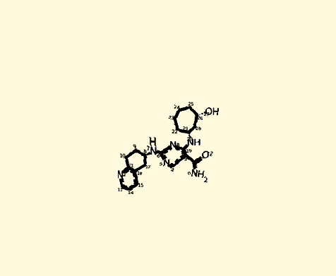 NC(=O)c1cnc(N[C@@H]2CCc3ncccc3C2)nc1N[C@@H]1CCCC[C@H](O)C1